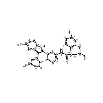 O=C(Nc1cc(-c2[nH]c3ccc(F)nc3c2-c2cc(F)ccn2)ccn1)[C@H](CC(F)F)c1ccc(F)cc1